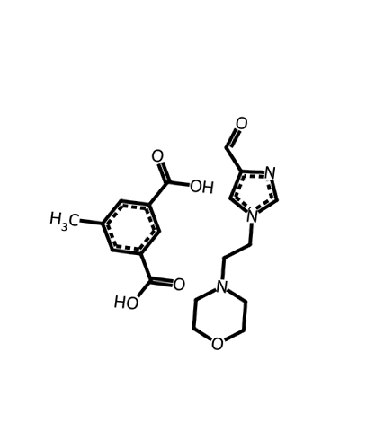 Cc1cc(C(=O)O)cc(C(=O)O)c1.O=Cc1cn(CCN2CCOCC2)cn1